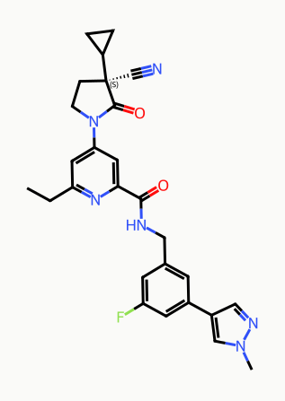 CCc1cc(N2CC[C@@](C#N)(C3CC3)C2=O)cc(C(=O)NCc2cc(F)cc(-c3cnn(C)c3)c2)n1